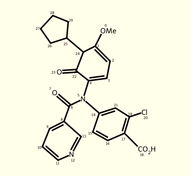 COC1=CC=C(N(C(=O)c2cccnc2)c2ccc(C(=O)O)c(Cl)c2)C(=O)C1C1CCCC1